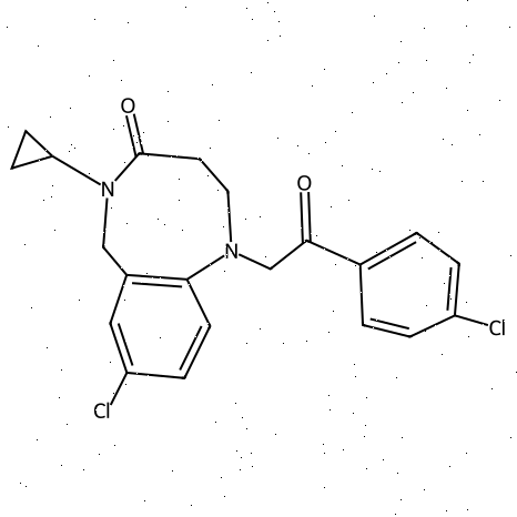 O=C(CN1CCC(=O)N(C2CC2)Cc2cc(Cl)ccc21)c1ccc(Cl)cc1